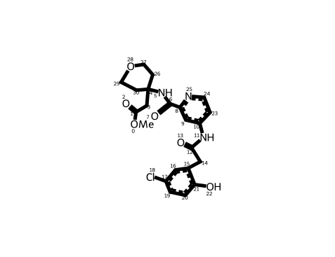 COC(=O)CC1(NC(=O)c2cc(NC(=O)Cc3cc(Cl)ccc3O)ccn2)CCOCC1